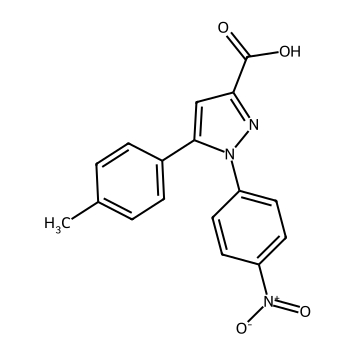 Cc1ccc(-c2cc(C(=O)O)nn2-c2ccc([N+](=O)[O-])cc2)cc1